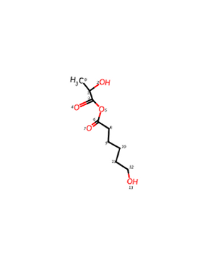 CC(O)C(=O)OC(=O)CCCCCO